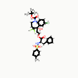 Cc1ccc(S(=O)(=O)N[C@H](Cc2ccccc2)C(=O)OCC[C@]2(O)c3cc(Cl)ccc3N(C(=O)OC(C)(C)C)CCC2(F)F)cc1